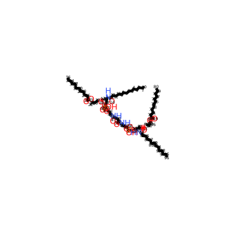 CCCCCCCCCCCCCC(=O)N[C@H](COCC[C@@H](C)OC(=O)CCCCCCCCCCC)COP(=O)(O)OCCNC(=O)CC(=O)NCCOP(=O)(O)OC[C@@H](COCC[C@@H](C)OC(=O)CCCCCCCCCCC)NC(=O)CCCCCCCCCCCCC